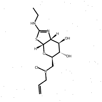 C=CCN(Cl)C[C@H]1O[C@@H]2SC(NCC)=N[C@@H]2[C@@H](O)[C@@H]1O